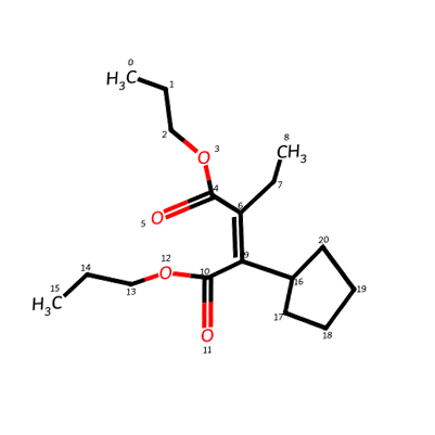 CCCOC(=O)/C(CC)=C(\C(=O)OCCC)C1CCCC1